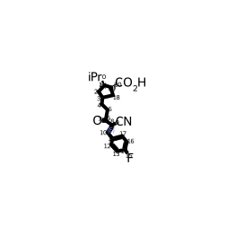 CC(C)[C@@H]1CC(CCC(=O)/C(C#N)=C/c2ccc(F)cc2)C[C@H]1C(=O)O